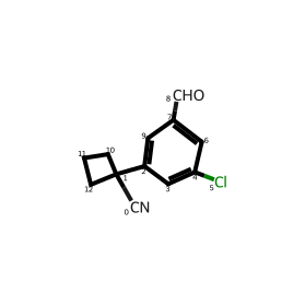 N#CC1(c2cc(Cl)cc(C=O)c2)CCC1